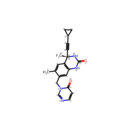 Cc1cc2c(cc1Cn1cnccc1=O)NC(=O)N[C@]2(C#CC1CC1)C(F)(F)F